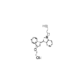 OCCON1CC(=C2CN(OCCO)c3ccccc32)c2ccccc21